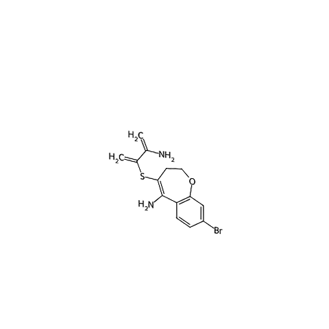 C=C(N)C(=C)SC1=C(N)c2ccc(Br)cc2OCC1